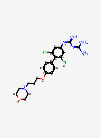 N=C(N=C(N)N)Nc1cc(Cl)c(-c2ccc(OCCCN3CCOCC3)cc2)c(Cl)c1